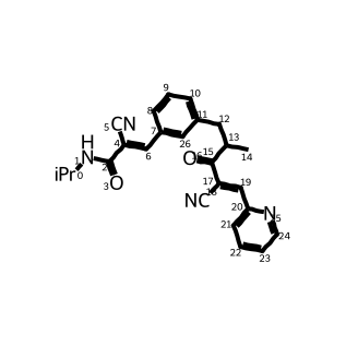 CC(C)NC(=O)/C(C#N)=C/c1cccc(CC(C)C(=O)/C(C#N)=C/c2ccccn2)c1